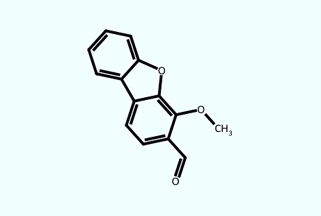 COc1c(C=O)ccc2c1oc1ccccc12